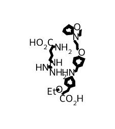 CCOC(Cc1ccc(NCc2ccc(OCCCN3CCOc4ccccc43)cc2)cc1)C(=O)O.N=C(N)NCCC[C@H](N)C(=O)O